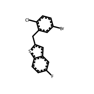 Fc1ccc2sc(Cc3cc(Br)ccc3Cl)cc2c1